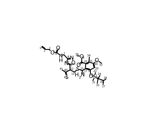 C=CCOC(=O)NCc1noc(C(CSC(N)c2c(O[Si](C)(C)C(C)(C)C(C)C)cc(OC)c(C)c2C(=O)OC)C(C)=S)n1